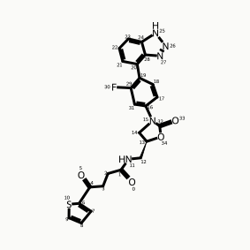 O=C(CCC(=O)c1cccs1)NC[C@H]1CN(c2ccc(-c3cccc4[nH]nnc34)c(F)c2)C(=O)O1